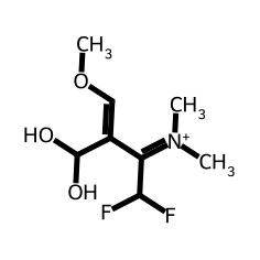 CO/C=C(/C(C(F)F)=[N+](C)C)C(O)O